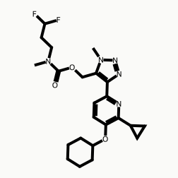 CN(CCC(F)F)C(=O)OCc1c(-c2ccc(OC3CCCCC3)c(C3CC3)n2)nnn1C